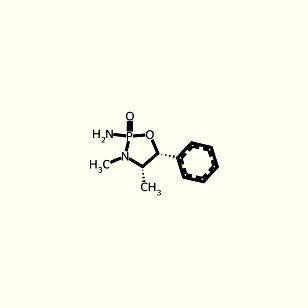 C[C@H]1[C@@H](c2ccccc2)OP(N)(=O)N1C